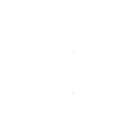 O=S(=O)(c1ccccc1)C1CS(O)(O)c2cccc(-c3cccnc3)c21